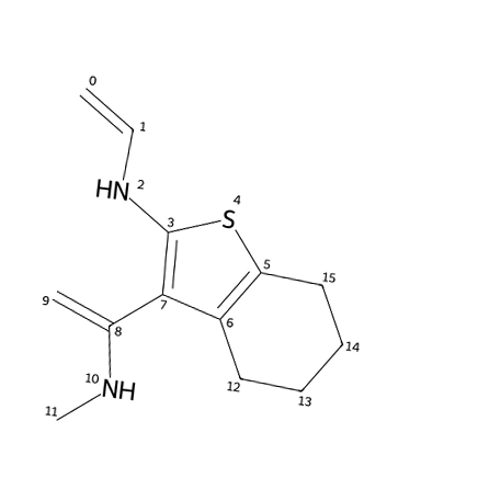 C=CNc1sc2c(c1C(=C)NC)CCCC2